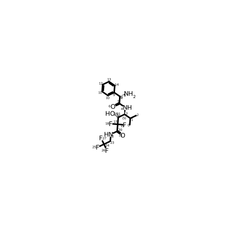 CC(C)[C@H](NC(=O)[C@@H](N)c1ccccc1)[C@@H](O)C(F)(F)C(=O)NCC(F)(F)F